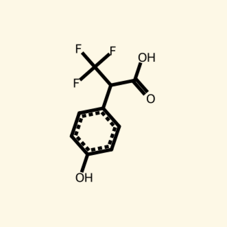 O=C(O)C(c1ccc(O)cc1)C(F)(F)F